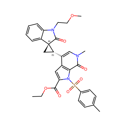 CCOC(=O)c1cc2c([C@@H]3C[C@@]34C(=O)N(CCOC)c3ccccc34)cn(C)c(=O)c2n1S(=O)(=O)c1ccc(C)cc1